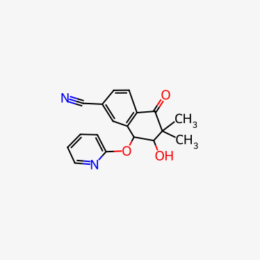 CC1(C)C(=O)c2ccc(C#N)cc2C(Oc2ccccn2)C1O